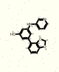 Oc1cc(Nc2cccnc2)cc(-c2cccc3c2OCO3)c1